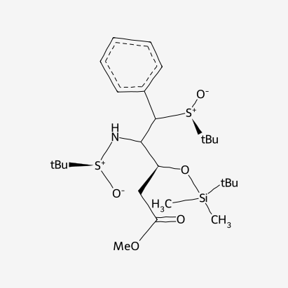 COC(=O)C[C@H](O[Si](C)(C)C(C)(C)C)C(N[S@@+]([O-])C(C)(C)C)C(c1ccccc1)[S@@+]([O-])C(C)(C)C